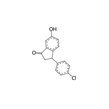 O=C1CC(c2ccc(Cl)cc2)c2ccc(O)cc21